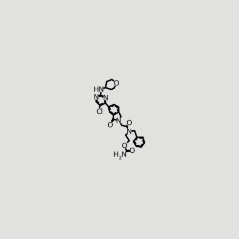 NC(=O)OCCN(Cc1ccccc1)C(=O)CN1Cc2ccc(-c3nc(NC4CCOCC4)ncc3Cl)cc2C1=O